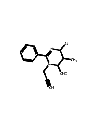 C#CCN1C(c2ccccc2)=NC(CC)C(C)C1C=O